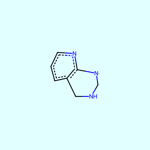 c1cnc2c(c1)CNC[N]2